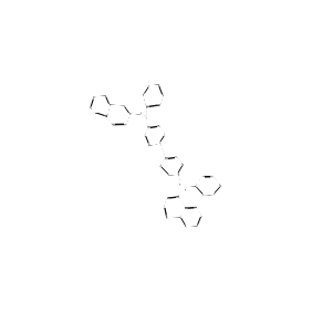 c1ccc(N(c2ccc(-c3ccc(N(c4ccccc4)c4cccc5ccccc45)cc3)cc2)c2ccc3ccccc3c2)cc1